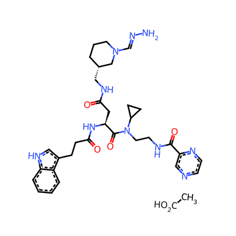 CC(=O)O.NN=CN1CCC[C@@H](CNC(=O)C[C@H](NC(=O)CCc2c[nH]c3ccccc23)C(=O)N(CCNC(=O)c2cnccn2)C2CC2)C1